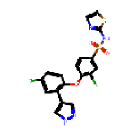 O=S(=O)(Nc1nccs1)c1ccc(Oc2ccc(Cl)cc2-c2cn[nH]c2)c(F)c1